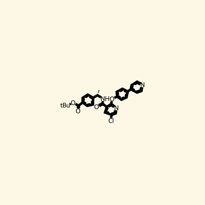 C[C@H](NC(=O)c1cc(Cl)cnc1Oc1ccc(-c2ccncc2)cc1)c1ccc(C(=O)OC(C)(C)C)cc1